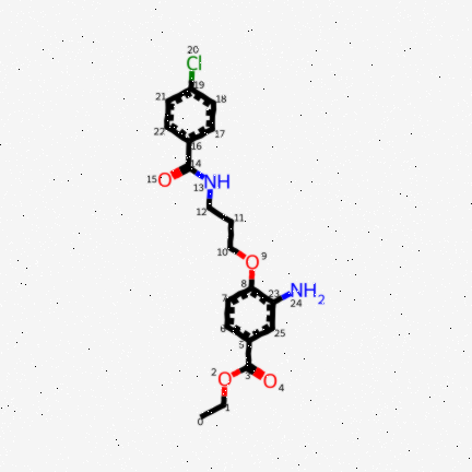 CCOC(=O)c1ccc(OCCCNC(=O)c2ccc(Cl)cc2)c(N)c1